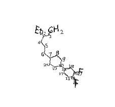 C=CC(CC)CCCC1CCC(c2ccc(F)c(F)c2)CC1